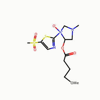 COCCCC(=O)OC1CN(C)C[N+]1([O-])c1ncc(S(C)(=O)=O)s1